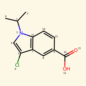 CC(C)n1cc(Cl)c2cc(C(=O)O)ccc21